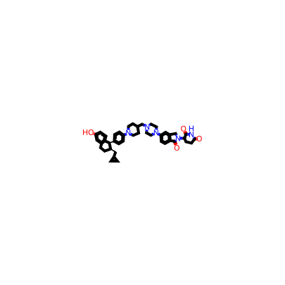 O=C1CCC(N2Cc3cc(N4CCN(CC5CCN(c6ccc([C@@H]7c8ccc(O)cc8CC[C@@H]7CC7CC7)cc6)CC5)CC4)ccc3C2=O)C(=O)N1